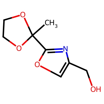 CC1(c2nc(CO)co2)OCCO1